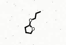 CCCO[C]1CCCO1